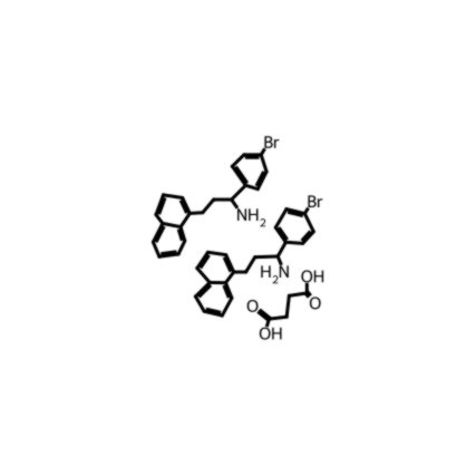 NC(CCc1cccc2ccccc12)c1ccc(Br)cc1.NC(CCc1cccc2ccccc12)c1ccc(Br)cc1.O=C(O)CCC(=O)O